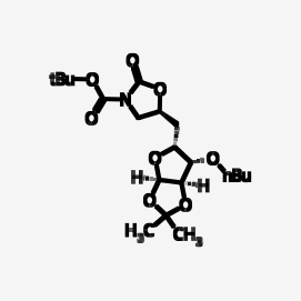 CCCCO[C@@H]1[C@H]2OC(C)(C)O[C@H]2O[C@@H]1C[C@H]1CN(C(=O)OC(C)(C)C)C(=O)O1